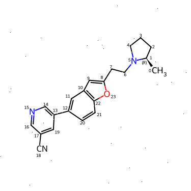 C[C@@H]1CCCN1CCc1cc2cc(-c3cncc(C#N)c3)ccc2o1